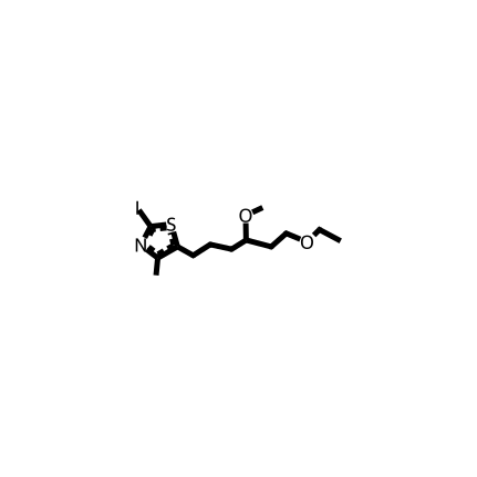 CCOCCC(CCCc1sc(I)nc1C)OC